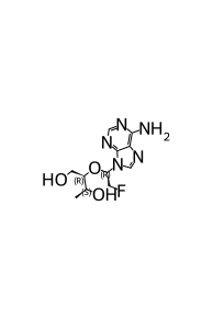 C[C@H](O)[C@@H](CO)O[C@H](CF)n1cnc2c(N)ncnc21